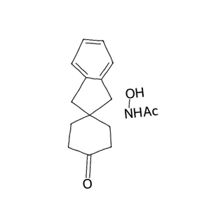 CC(=O)NO.O=C1CCC2(CC1)Cc1ccccc1C2